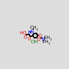 CCn1nc(C(=O)O)c(=O)c2cc3c(cc21)OC(N(C)C)O3.Cl